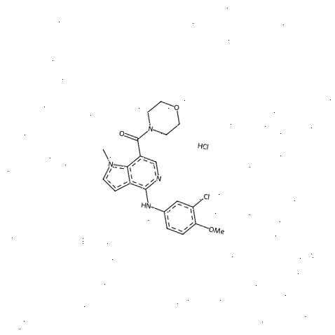 COc1ccc(Nc2ncc(C(=O)N3CCOCC3)c3c2ccn3C)cc1Cl.Cl